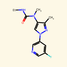 CCNC(=O)N(C)c1cn(-c2cncc(F)c2)nc1C